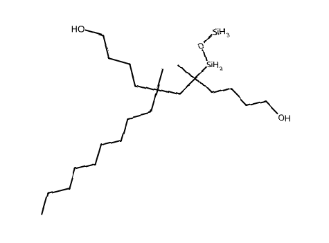 CCCCCCCCCC(C)(CCCCO)CC(C)(CCCCO)[SiH2]O[SiH3]